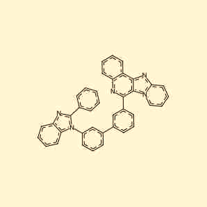 c1ccc(-c2nc3ccccc3n2-c2cccc(-c3cccc(-c4nc5ccccc5c5nc6ccccn6c45)c3)c2)cc1